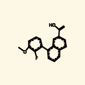 C=C(O)c1ccc2cccc(-c3cccc(OC)c3F)c2c1